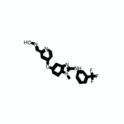 Cn1c(Nc2cccc(C(F)(F)F)c2)nc2cc(Oc3ccnc(/C=N/O)c3)ccc21